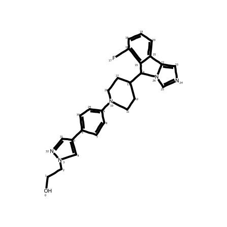 OCCn1cc(-c2ccc(N3CCC(C4c5c(F)cccc5-c5cncn54)CC3)cc2)cn1